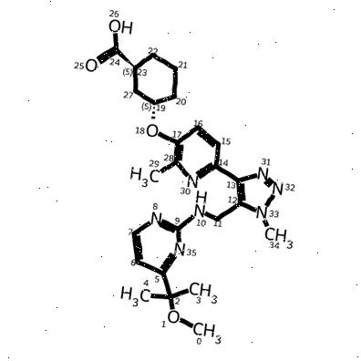 COC(C)(C)c1ccnc(NCc2c(-c3ccc(O[C@H]4CCC[C@H](C(=O)O)C4)c(C)n3)nnn2C)n1